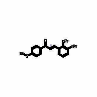 CCCc1cccc(/C=C/C(=O)c2ccc(SCC)cc2)c1CCC